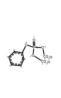 O=C(O)OP(=O)(OC(=O)O)Oc1ccccc1